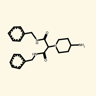 NC1CCN(C(C(=O)NCc2ccccc2)C(=O)NCc2ccccc2)CC1